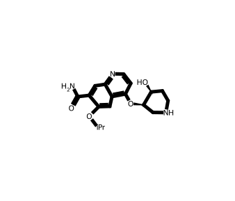 CC(C)Oc1cc2c(O[C@@H]3CNCC[C@@H]3O)ccnc2cc1C(N)=O